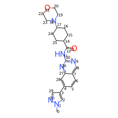 Cn1cc(-c2ccc3cnc(NC(=O)C4CCC(N5CCOCC5)CC4)nc3c2)cn1